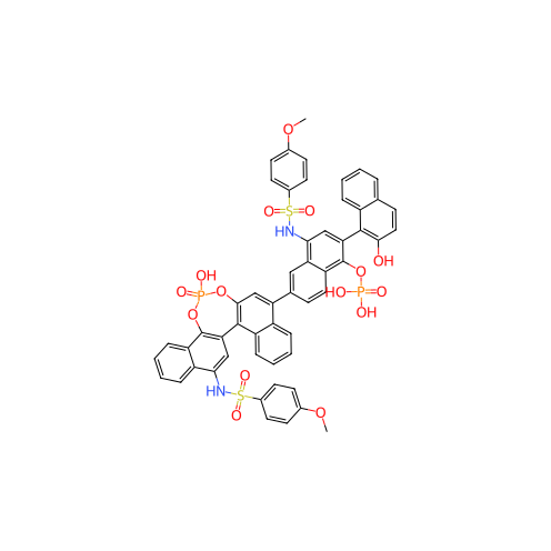 COc1ccc(S(=O)(=O)Nc2cc(-c3c(O)ccc4ccccc34)c(OP(=O)(O)O)c3ccc(-c4cc5c(c6ccccc46)-c4cc(NS(=O)(=O)c6ccc(OC)cc6)c6ccccc6c4OP(=O)(O)O5)cc23)cc1